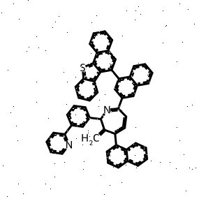 C=C1C(c2cccc3ccccc23)=C=CC(c2cc(-c3cc4ccccc4c4sc5ccccc5c34)c3ccccc3c2)=NC1c1cccc(-c2ccccn2)c1